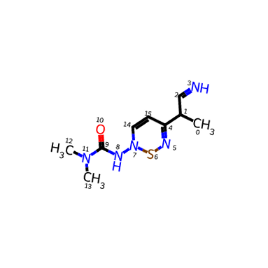 CC(C=N)C1=NSN(NC(=O)N(C)C)C=C1